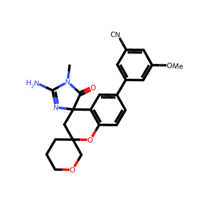 [C-]#[N+]c1cc(OC)cc(-c2ccc3c(c2)C2(CC4(CCCOC4)O3)N=C(N)N(C)C2=O)c1